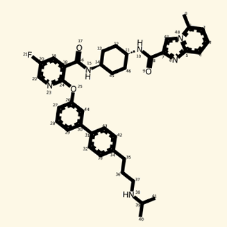 Cc1cccc2nc(C(=O)N[C@H]3CC[C@H](NC(=O)c4cc(F)cnc4Oc4cccc(-c5ccc(CCCNC(C)C)cc5)c4)CC3)cn12